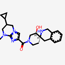 CN1CC(C2CC2)Cn2cc(C(=O)N3CC[C@]4(Cc5ccccc5CN4)[C@H](O)C3)nc21